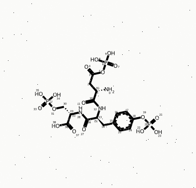 N[C@@H](CC(=O)OP(=O)(O)O)C(=O)N[C@@H](Cc1ccc(OP(=O)(O)O)cc1)C(=O)N[C@@H](COP(=O)(O)O)C(=O)O